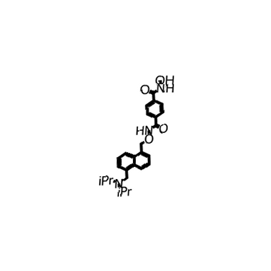 CC(C)N(Cc1cccc2c(CONC(=O)c3ccc(C(=O)NO)cc3)cccc12)C(C)C